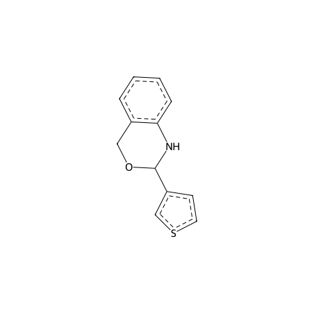 c1ccc2c(c1)COC(c1ccsc1)N2